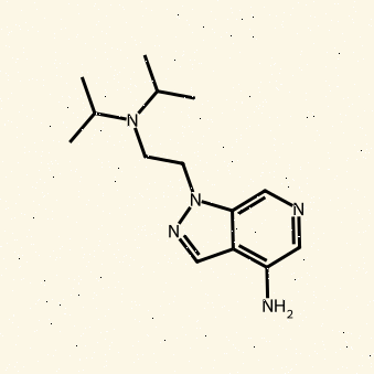 CC(C)N(CCn1ncc2c(N)cncc21)C(C)C